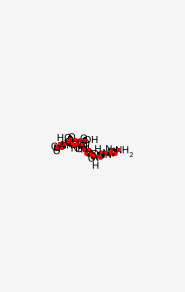 Nc1ccc(N=Nc2ccc(NS(=O)(=O)c3ccc(N=Nc4c(S(=O)(=O)O)cc5cc(S(=O)(=O)O)c(N=Nc6ccc([N+](=O)[O-])cc6)c(N)c5c4O)cc3)cc2)c(N)c1